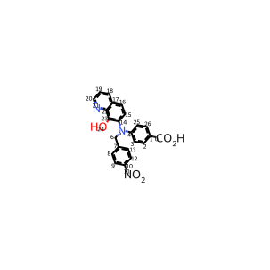 O=C(O)c1ccc(N(Cc2ccc([N+](=O)[O-])cc2)c2ccc3cccnc3c2O)cc1